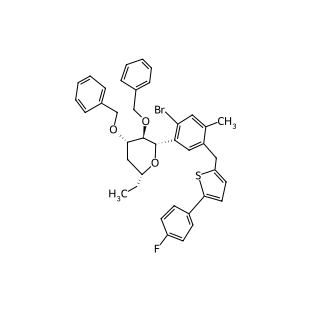 CC[C@@H]1C[C@H](OCc2ccccc2)[C@@H](OCc2ccccc2)[C@H](c2cc(Cc3ccc(-c4ccc(F)cc4)s3)c(C)cc2Br)O1